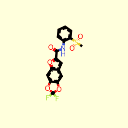 CS(=O)(=O)c1ccccc1NC(=O)c1cc2cc3c(cc2o1)OC(F)(F)O3